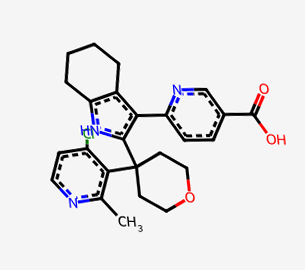 Cc1nccc(Cl)c1C1(c2[nH]c3c(c2-c2ccc(C(=O)O)cn2)CCCC3)CCOCC1